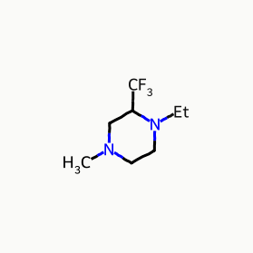 CCN1CCN(C)CC1C(F)(F)F